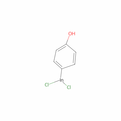 Oc1cc[c]([In]([Cl])[Cl])cc1